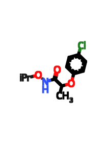 CC(C)ONC(=O)C(C)Oc1ccc(Cl)cc1